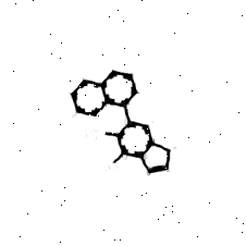 Cc1c(-c2cccc3ccccc23)cc2c(c1Br)C=CC2